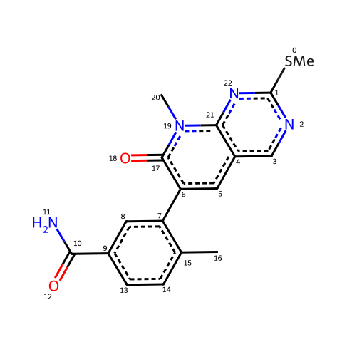 CSc1ncc2cc(-c3cc(C(N)=O)ccc3C)c(=O)n(C)c2n1